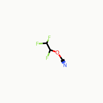 N#COC(F)C(F)F